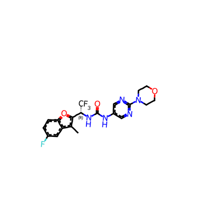 Cc1c([C@@H](NC(=O)Nc2cnc(N3CCOCC3)nc2)C(F)(F)F)oc2ccc(F)cc12